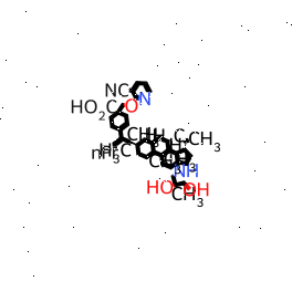 C=C(C)[C@@H]1CC[C@]2(NCC(C)(O)CO)CC[C@]3(C)[C@H](CC[C@@H]4C[C@H](C(C)(C)/C(=C\CCC)C5=CC[C@](COc6ncccc6C#N)(C(=O)O)CC5)CC[C@]43C)[C@@H]12